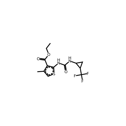 CCOC(=O)c1c(C)csc1NC(=O)NC1CC1C(F)(F)F